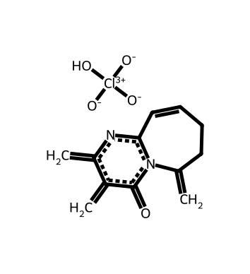 C=C1CCC=Cc2nc(=C)c(=C)c(=O)n21.[O-][Cl+3]([O-])([O-])O